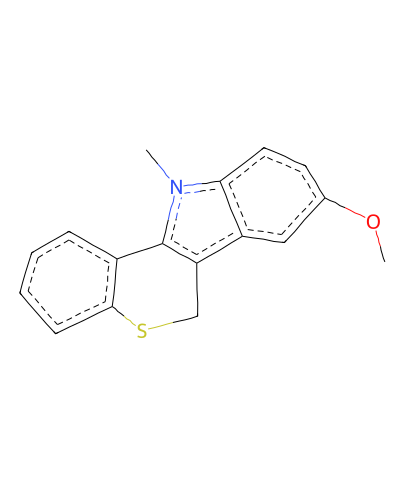 COc1ccc2c(c1)c1c(n2C)-c2ccccc2SC1